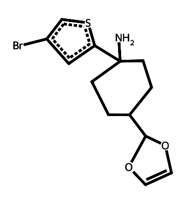 NC1(c2cc(Br)cs2)CCC(C2OC=CO2)CC1